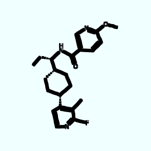 CC[C@H](NC(=O)c1ccc(OC)nc1)[C@H]1CC[C@@H](c2ccnc(F)c2C)CC1